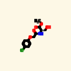 COC(=O)[C@H](CO)NC(=O)COc1ccc(Cl)cc1